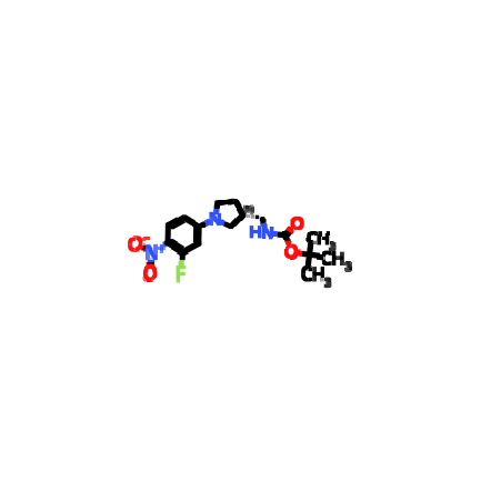 CC(C)(C)OC(=O)NC[C@H]1CCN(c2ccc([N+](=O)[O-])c(F)c2)C1